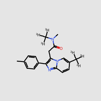 [2H]C([2H])([2H])c1ccc2nc(-c3ccc(C)cc3)c(CC(=O)N(C)C([2H])([2H])[2H])n2c1